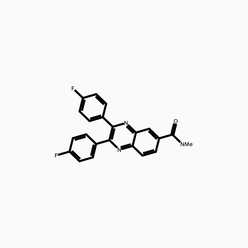 CNC(=O)c1ccc2nc(-c3ccc(F)cc3)c(-c3ccc(F)cc3)nc2c1